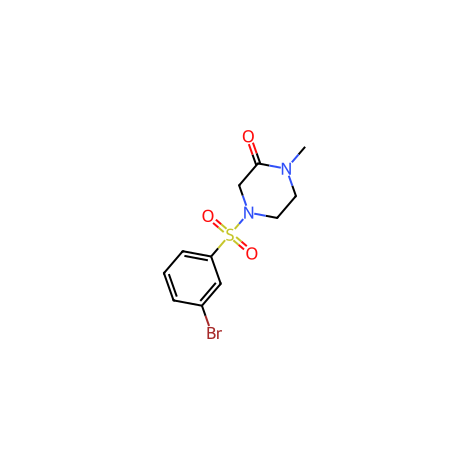 CN1CCN(S(=O)(=O)c2cccc(Br)c2)CC1=O